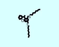 CCCCCCCCSCc1ccc(C(C)c2ccccc2O)c(CSCCCCCCCC)c1